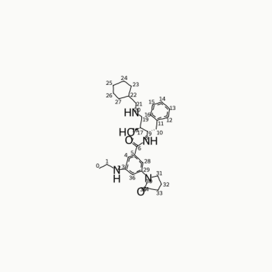 CCNc1cc(C(=O)N[C@@H](Cc2ccccc2)[C@@H](O)CNCC2CCCCC2)cc(N2CCCC2=O)c1